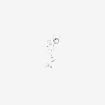 CNC(=O)c1cnc(N2CCC(C(=O)/C(=N/O)Nc3ccc(F)c(Br)c3)CC2)s1